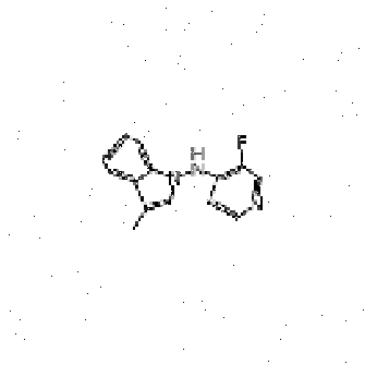 Cc1cn(Nc2ccncc2F)c2ccccc12